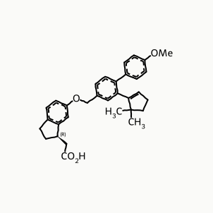 COc1ccc(-c2ccc(COc3ccc4c(c3)[C@@H](CC(=O)O)CC4)cc2C2=CCCC2(C)C)cc1